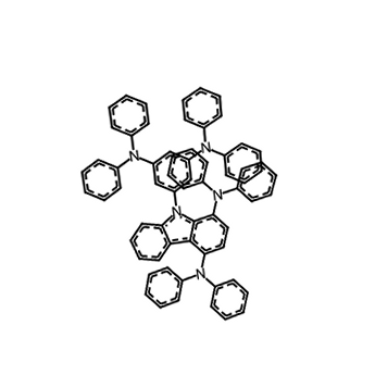 c1ccc(N(c2ccccc2)c2cc(N(c3ccccc3)c3ccccc3)cc(-n3c4ccccc4c4c(N(c5ccccc5)c5ccccc5)ccc(N(c5ccccc5)c5ccccc5)c43)c2)cc1